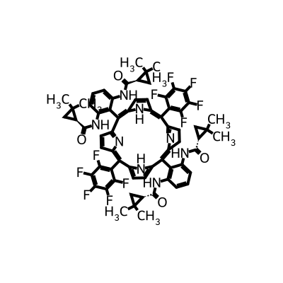 CC1(C)C[C@@H]1C(=O)Nc1cccc(NC(=O)[C@@H]2CC2(C)C)c1-c1c2nc(c(-c3c(F)c(F)c(F)c(F)c3F)c3ccc([nH]3)c(-c3c(NC(=O)[C@H]4CC4(C)C)cccc3NC(=O)[C@@H]3CC3(C)C)c3nc(c(-c4c(F)c(F)c(F)c(F)c4F)c4ccc1[nH]4)CC3)C=C2